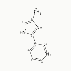 Cc1c[nH]c(-c2cccnc2)n1